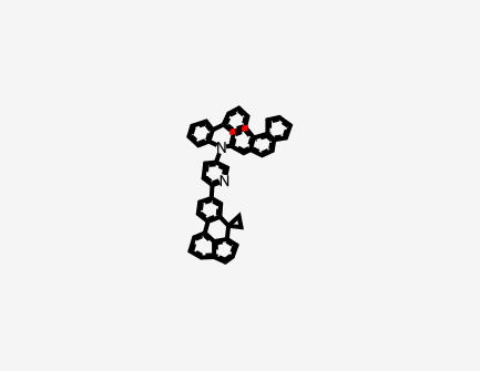 c1ccc(-c2ccccc2N(c2ccc(-c3ccc4c(c3)C3(CC3)c3cccc5cccc-4c35)nc2)c2ccc3c(ccc4ccccc43)c2)cc1